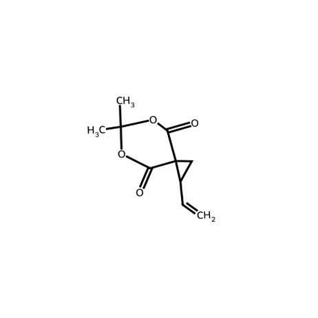 C=CC1CC12C(=O)OC(C)(C)OC2=O